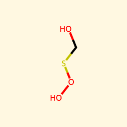 OCSOO